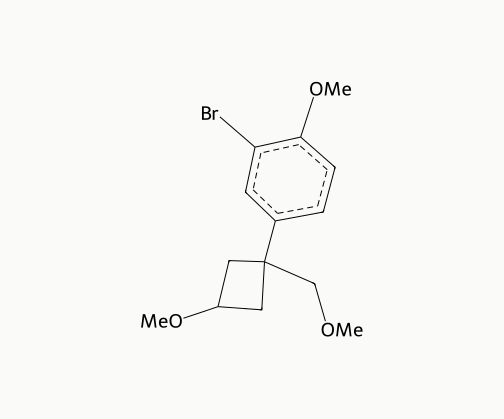 COCC1(c2ccc(OC)c(Br)c2)CC(OC)C1